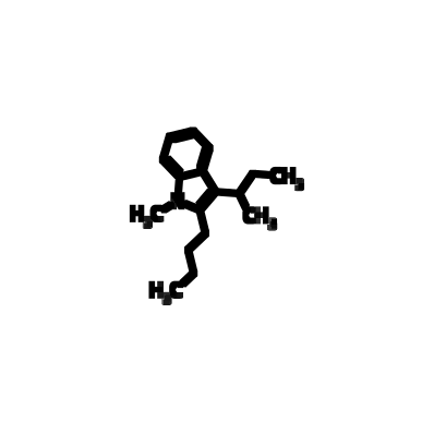 CCCCc1c(C(C)CC)c2ccccc2n1C